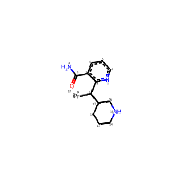 CC(C)C(c1ncccc1C(N)=O)C1CCCNC1